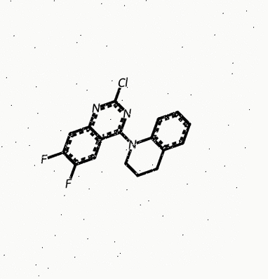 Fc1cc2nc(Cl)nc(N3CCCc4ccccc43)c2cc1F